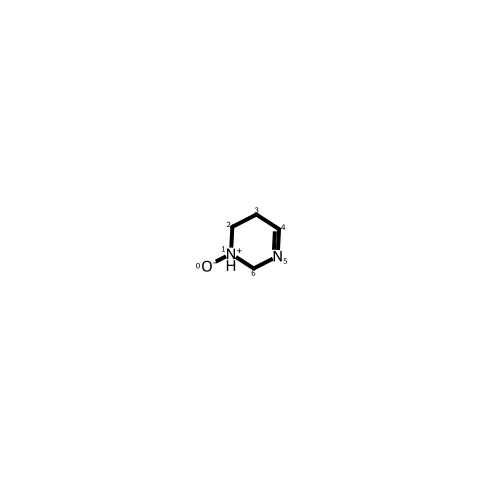 [O-][NH+]1CCC=NC1